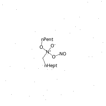 CCCCCCCC[N+]([O-])(OCCCCC)ON=O